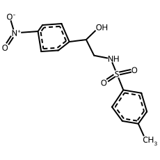 Cc1ccc(S(=O)(=O)NCC(O)c2ccc([N+](=O)[O-])cc2)cc1